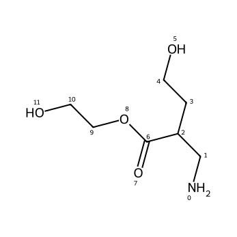 NCC(CCO)C(=O)OCCO